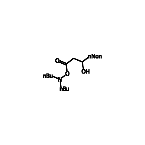 CCCCCCCCCC(O)CC(=O)ON(CCCC)CCCC